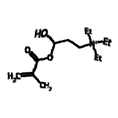 C=C(C)C(=O)OC(O)CC[N+](CC)(CC)CC